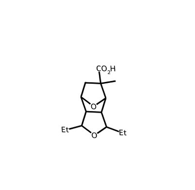 CCC1OC(CC)C2C1C1CC(C)(C(=O)O)C2O1